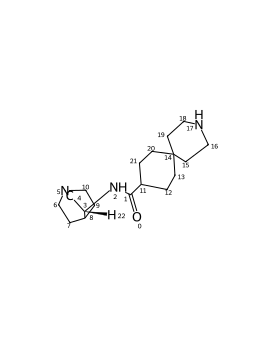 O=C(N[C@H]1CN2CCC1CC2)C1CCC2(CCNCC2)CC1